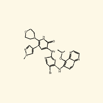 Cn1cc(-c2cc(Nc3ncc(Br)c(Nc4ccc5nccnc5c4OP(C)C)n3)c(=O)[nH]c2N2CCOCC2)cn1